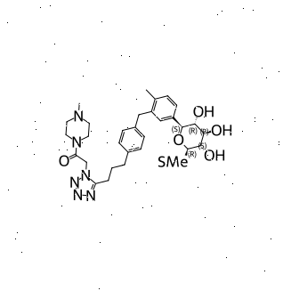 CS[C@H]1O[C@@H](c2ccc(C)c(Cc3ccc(CCCc4nnnn4CC(=O)N4CCN(C)CC4)cc3)c2)[C@H](O)[C@@H](O)[C@@H]1O